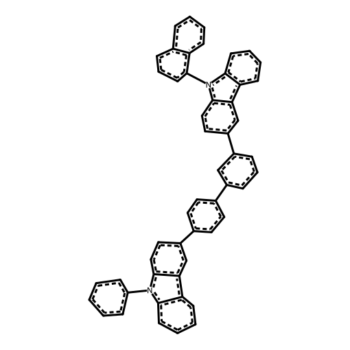 c1ccc(-n2c3ccccc3c3cc(-c4ccc(-c5cccc(-c6ccc7c(c6)c6ccccc6n7-c6cccc7ccccc67)c5)cc4)ccc32)cc1